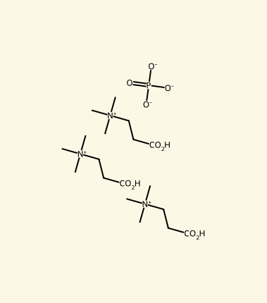 C[N+](C)(C)CCC(=O)O.C[N+](C)(C)CCC(=O)O.C[N+](C)(C)CCC(=O)O.O=P([O-])([O-])[O-]